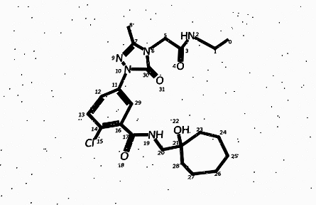 CCNC(=O)Cn1c(C)nn(-c2ccc(Cl)c(C(=O)NCC3(O)CCCCCC3)c2)c1=O